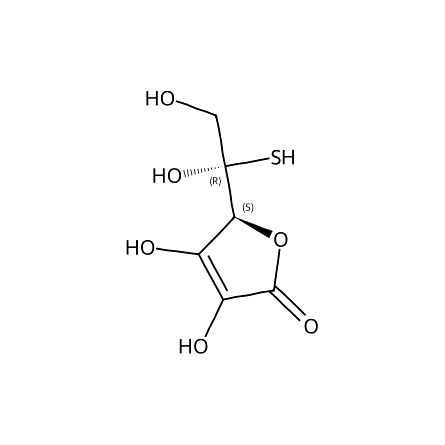 O=C1O[C@H]([C@](O)(S)CO)C(O)=C1O